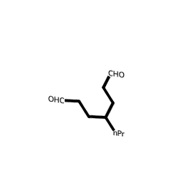 CCCC(CCC=O)CCC=O